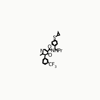 CC1=NC=C(C(=O)NC(c2ccc(SC3CC3)cc2)C(C)C)C(=O)C1c1cccc(C(F)(F)F)c1